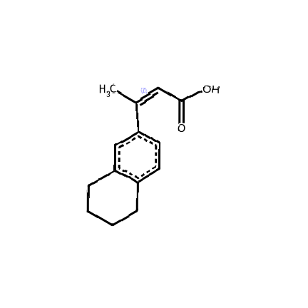 C/C(=C/C(=O)O)c1ccc2c(c1)CCCC2